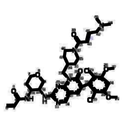 C=CC(=O)N[C@H]1CCOC[C@H]1Nc1ncc2cc(-c3c(Cl)c(OC)cc(OC)c3Cl)c(=O)n(CC3CCN(C(=O)/C=C/CN(C)C)CC3)c2n1